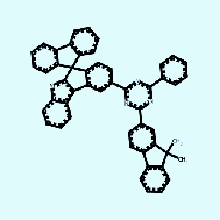 CC1(C)c2ccccc2-c2ccc(-c3nc(-c4ccccc4)nc(-c4ccc5c(c4)-c4c(sc6ccccc46)C54c5ccccc5-c5ccccc54)n3)cc21